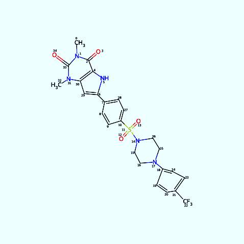 Cn1c(=O)c2[nH]c(-c3ccc(S(=O)(=O)N4CCN(c5ccc(C(F)(F)F)cc5)CC4)cc3)cc2n(C)c1=O